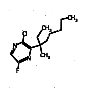 CCCCCC(C)(CC)c1nc(F)cnc1Cl